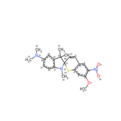 COc1cc2c(cc1[N+](=O)[O-])C=CC1(S2)N(C)c2ccc(N(C)C)cc2C1(C)C